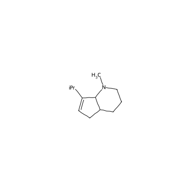 CC(C)C1=CCC2CCCN(C)C12